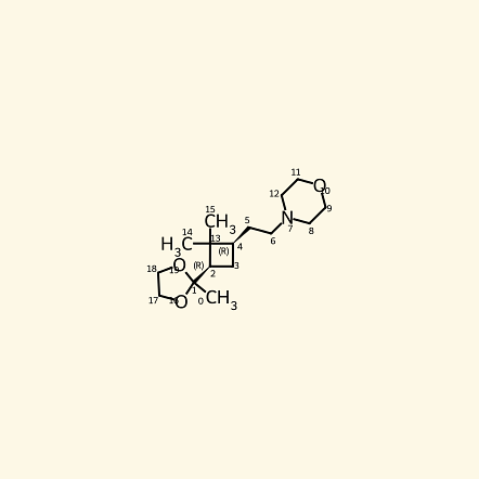 CC1([C@@H]2C[C@H](CCN3CCOCC3)C2(C)C)OCCO1